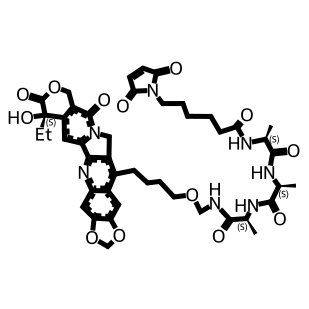 CC[C@@]1(O)C(=O)OCc2c1cc1n(c2=O)Cc2c-1nc1cc3c(cc1c2CCCCOCNC(=O)[C@H](C)NC(=O)[C@H](C)NC(=O)[C@H](C)NC(=O)CCCCCN1C(=O)C=CC1=O)OCO3